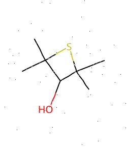 CC1(C)SC(C)(C)C1O